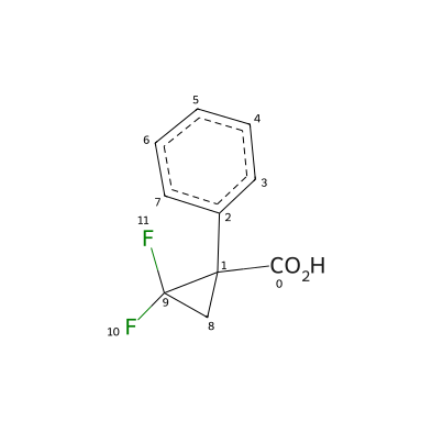 O=C(O)C1(c2ccccc2)CC1(F)F